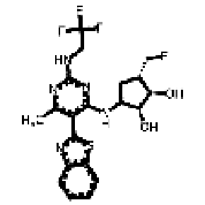 Cc1nc(NCC(F)(F)F)nc(NC2C[C@H](CF)[C@@H](O)[C@H]2O)c1-c1nc2ccccc2s1